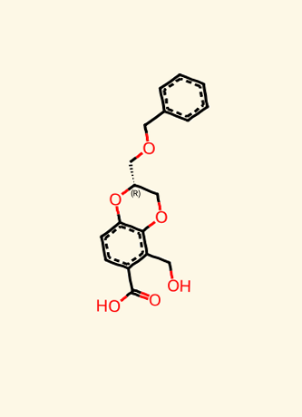 O=C(O)c1ccc2c(c1CO)OC[C@@H](COCc1ccccc1)O2